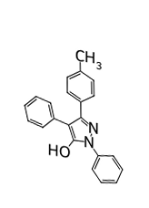 Cc1ccc(-c2nn(-c3ccccc3)c(O)c2-c2ccccc2)cc1